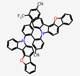 N#Cc1ccc(-n2c3ccccc3c3c4oc5ccccc5c4ccc32)c(-c2cc(-c3ccc(C#N)cc3C(F)(F)F)ccc2-n2c3ccccc3c3c4oc5ccccc5c4ccc32)c1